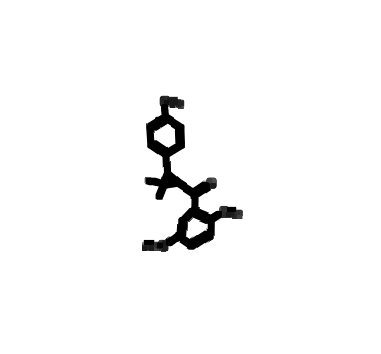 COc1ccc(C2C(C(=O)c3cc(OC)ccc3OC)C2(C)C)cc1